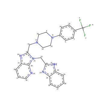 FC(F)(F)c1ccc(N2CCN(Cc3nc4cccnc4n3Cc3nc4ccccc4[nH]3)CC2)cc1